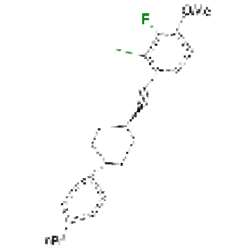 CCCc1ccc([C@H]2CC[C@H](C#Cc3ccc(OC)c(F)c3F)CC2)cc1